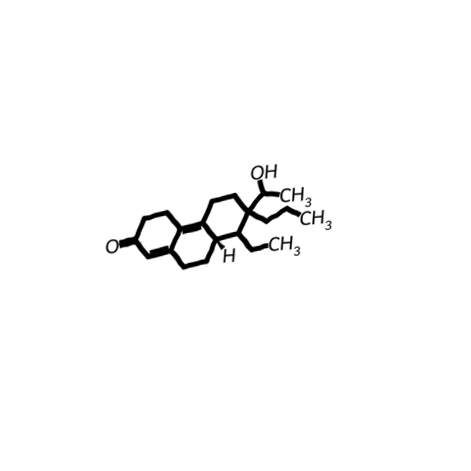 CCCC1(C(C)O)CCC2=C3CCC(=O)C=C3CC[C@H]2C1CC